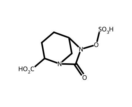 O=C(O)C1CCC2CN1C(=O)N2OS(=O)(=O)O